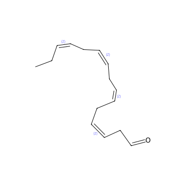 CC/C=C\C/C=C\C/C=C\C/C=C\CC=O